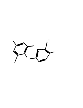 O=C(O)c1ccc(Oc2c(I)cc(I)cc2I)cc1O